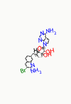 Nc1nc2cc(C[C@@H]3CC[C@]4(O)C(O)[C@H](n5ccc6c(N)ncnc65)O[C@H]34)ccc2cc1Br